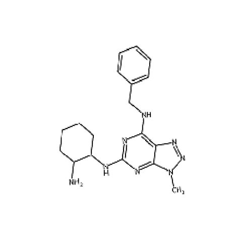 Cn1nnc2c(NCc3ccccc3)nc(NC3CCCCC3N)nc21